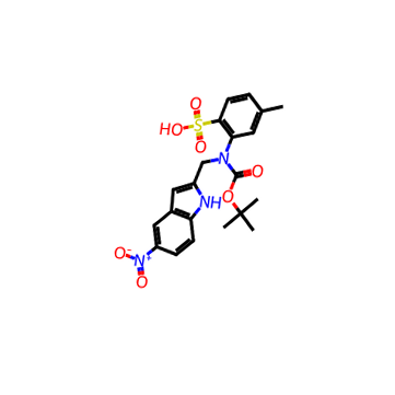 Cc1ccc(S(=O)(=O)O)c(N(Cc2cc3cc([N+](=O)[O-])ccc3[nH]2)C(=O)OC(C)(C)C)c1